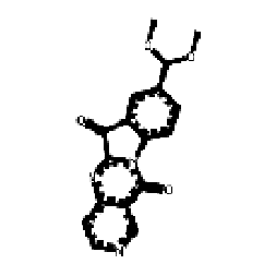 COC(OC)c1ccc2c(c1)C(=O)c1nc3ccncc3c(=O)n1-2